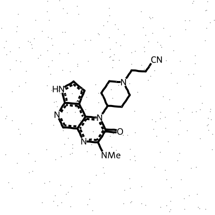 CNc1nc2cnc3[nH]ccc3c2n(C2CCN(CCC#N)CC2)c1=O